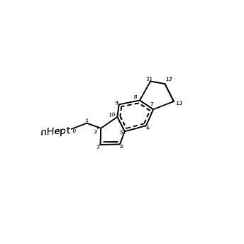 CCCCCCCC[C]1C=Cc2cc3c(cc21)CCC3